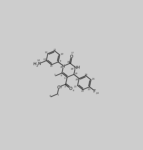 CCOC(=O)C1=C(C)N(c2cccc(N)c2)C(=O)NC1c1ccc(F)cc1